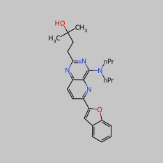 CCCN(CCC)c1nc(CCC(C)(C)O)nc2ccc(-c3cc4ccccc4o3)nc12